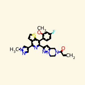 C=CC(=O)N1CCn2nc(-c3nc(-c4cnn(C)c4)c4ccsc4c3-c3ccc(F)cc3OC)cc2C1